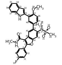 CNC(=O)c1c(-c2ccc(F)cc2)oc2cc(N(C)S(C)(=O)=O)c(-c3ccc(OC)c(-c4cc5ccccc5[nH]4)c3)cc12